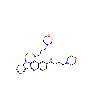 c1ccc2c(c1)c1nc3ccc(NCCCN4CCOCC4)cc3c3c1n2CCCN3CCCN1CCOCC1